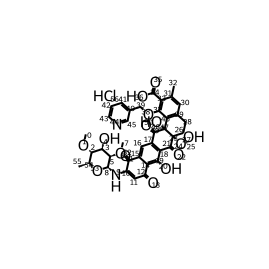 CO[C@@H]1[C@@H](O)[C@@H](OC)[C@@H](NC2=CC(=O)c3c(cc4c(c3O)C(=O)C3(OC)C(O)Cc5cc(C)c(C(=O)O)c(OCc6cccnc6)c5C3(O)C4=O)C2=O)O[C@H]1C.Cl